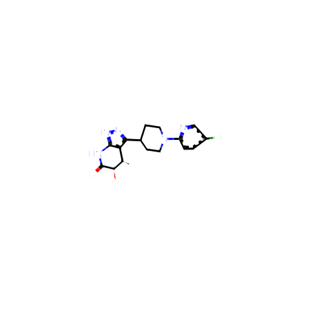 O=C1Nc2[nH]nc(C3CCN(c4ccc(Cl)cn4)CC3)c2[C@@H](C(F)(F)F)[C@H]1O